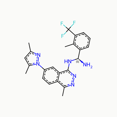 Cc1cc(C)n(-c2ccc3c(C)nnc(N[C@H](N)c4cccc(C(F)(F)F)c4C)c3c2)n1